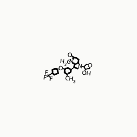 Cc1cc(Oc2ccc(C(F)(F)F)cc2)cc(-c2cn(C3COCC3O)c3ccc(=O)n(C)c23)c1